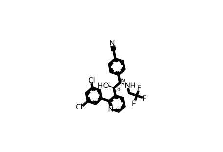 N#Cc1ccc([C@H](NCC(F)(F)F)[C@H](O)c2cccnc2-c2cc(Cl)cc(Cl)c2)cc1